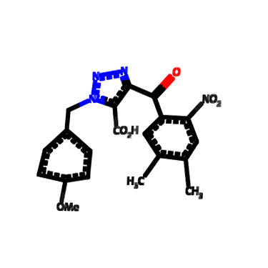 COc1ccc(Cn2nnc(C(=O)c3cc(C)c(C)cc3[N+](=O)[O-])c2C(=O)O)cc1